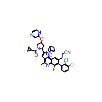 Cc1nc2c(F)c(-c3cccc(Cl)c3Cl)c(CCC#N)cc2c2c1cc(C1CC(Oc3cnccn3)CN1C(=O)C1CC1)n2C1C2CNC1C2